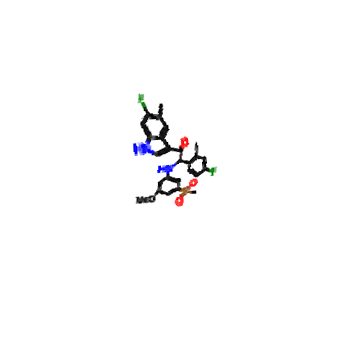 COc1cc(NC(C(=O)c2c[nH]c3cc(F)c(C)cc23)c2ccc(F)cc2C)cc(S(C)(=O)=O)c1